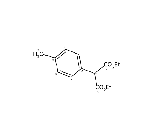 CCOC(=O)C(C(=O)OCC)c1ccc(C)cc1